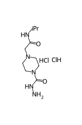 CC(C)NC(=O)CN1CCN(C(=O)NN)CC1.Cl.Cl